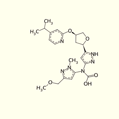 COCc1cc(N(C(=O)O)c2cc([C@H]3C[C@@H](Oc4cc(C(C)C)ccn4)CO3)[nH]n2)n(C)n1